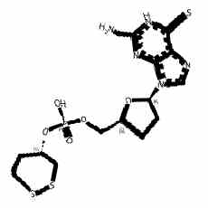 Nc1nc2c(ncn2[C@H]2CC[C@@H](CO[P@@](=O)(O)O[C@H]3CCSSC3)O2)c(=S)[nH]1